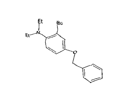 [CH2]CC(C)c1cc(OCc2ccccc2)ccc1N(CC)CC